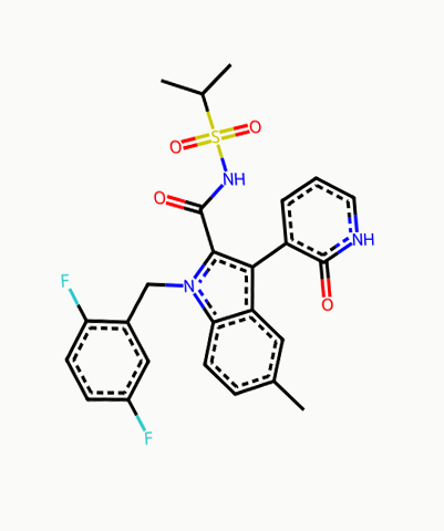 Cc1ccc2c(c1)c(-c1ccc[nH]c1=O)c(C(=O)NS(=O)(=O)C(C)C)n2Cc1cc(F)ccc1F